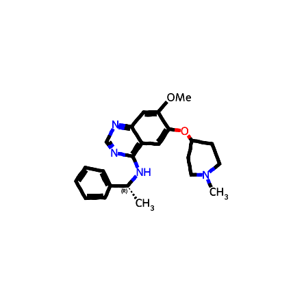 COc1cc2ncnc(N[C@H](C)c3ccccc3)c2cc1OC1CCN(C)CC1